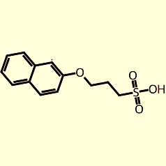 O=S(=O)(O)CCCOc1[c]c2ccccc2cc1